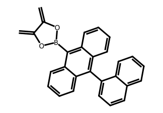 C=C1OB(c2c3ccccc3c(-c3cccc4ccccc34)c3ccccc23)OC1=C